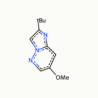 COc1cnn2cc(C(C)(C)C)nc2c1